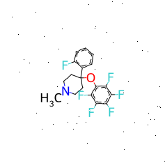 CN1CCC(Oc2c(F)c(F)c(F)c(F)c2F)(c2ccccc2F)CC1